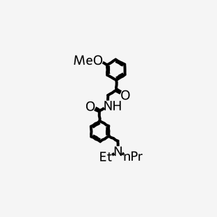 CCCN(CC)Cc1cccc(C(=O)NCC(=O)c2cccc(OC)c2)c1